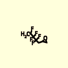 C=C(F)C(F)(F)C(F)(F)CC1CO1